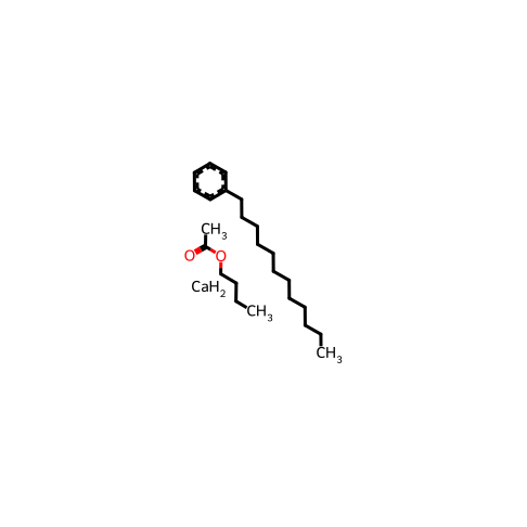 CCCCCCCCCCCCc1ccccc1.CCCCOC(C)=O.[CaH2]